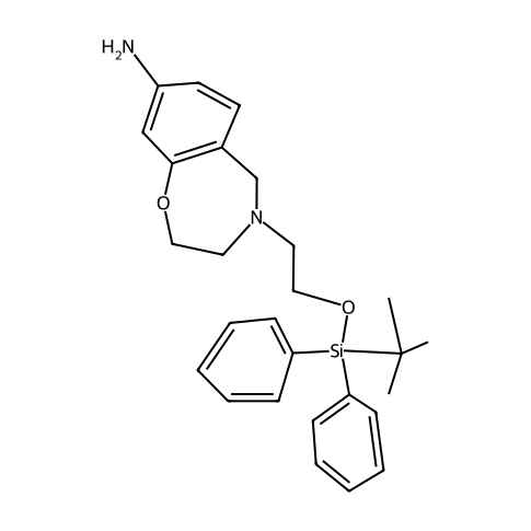 CC(C)(C)[Si](OCCN1CCOc2cc(N)ccc2C1)(c1ccccc1)c1ccccc1